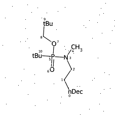 CCCCCCCCCCCCN(C)P(=O)(OCC(C)(C)C)C(C)(C)C